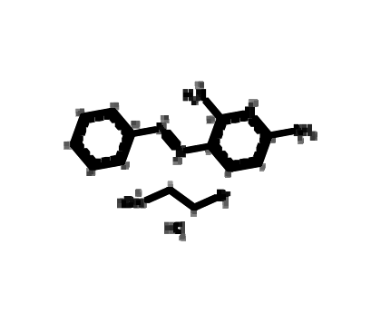 CCCCCCCCCCCCBr.Cl.Nc1ccc(/N=N/c2ccccc2)c(N)n1